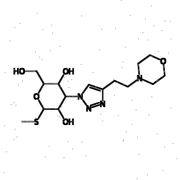 CSC1OC(CO)C(O)C(n2cc(CCN3CCOCC3)nn2)C1O